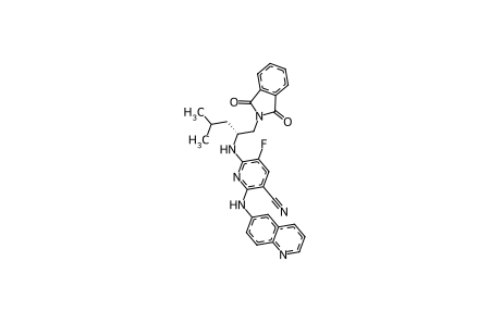 CC(C)C[C@H](CN1C(=O)c2ccccc2C1=O)Nc1nc(Nc2ccc3ncccc3c2)c(C#N)cc1F